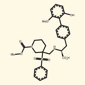 COc1cccc(O)c1-c1ccc(C[C@H](NCC2(S(=O)(=O)c3ccccc3)CCCN(C(=O)OC(C)(C)C)C2)C(=O)O)cc1